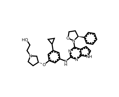 OCCN1CC[C@@H](Oc2cc(Nc3nc(N4OCC[C@H]4c4ccccc4)c4cc[nH]c4n3)cc(C3CC3)c2)C1